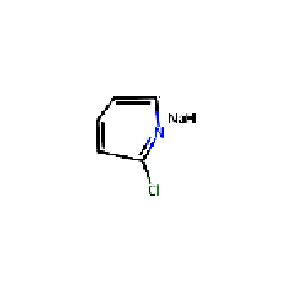 Clc1ccc[c]n1.[NaH]